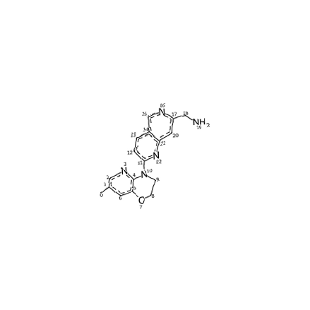 Cc1cnc2c(c1)OCCN2c1ccc2cnc(CN)cc2n1